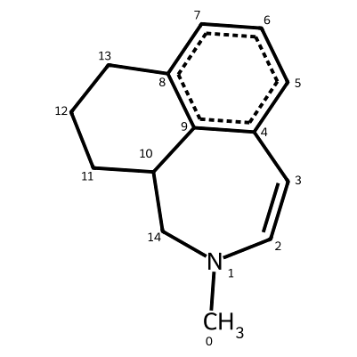 CN1C=Cc2cccc3c2C(CCC3)C1